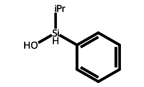 CC(C)[SiH](O)c1ccccc1